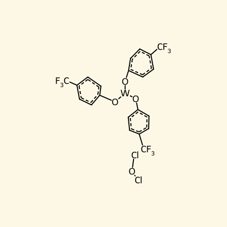 ClOCl.FC(F)(F)c1ccc([O][W]([O]c2ccc(C(F)(F)F)cc2)[O]c2ccc(C(F)(F)F)cc2)cc1